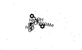 COc1cccc(CNC[C@H](O)[C@H](Cc2ccccc2)NC(=O)c2coc(NS(C)(=O)=O)n2)c1